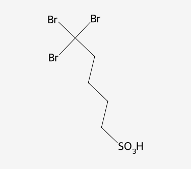 O=S(=O)(O)CCCCC(Br)(Br)Br